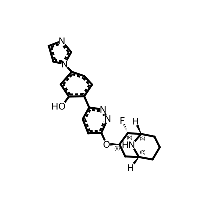 Oc1cc(-n2ccnc2)ccc1-c1ccc(O[C@@H]2C[C@H]3CCC[C@H](N3)[C@H]2F)nn1